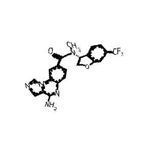 CN(C(=O)c1ccc2nc(N)c3cncn3c2c1)[C@H]1COc2cc(C(F)(F)F)ccc21